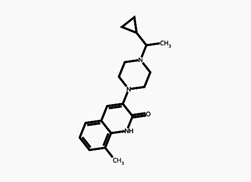 Cc1cccc2cc(N3CCN(C(C)C4CC4)CC3)c(=O)[nH]c12